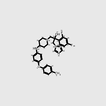 Cc1ccc(Oc2ccc(NC3CCN(CC(O)(Cn4cncn4)c4ccc(F)cc4F)CC3)cc2)cc1